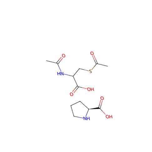 CC(=O)NC(CSC(C)=O)C(=O)O.O=C(O)[C@@H]1CCCN1